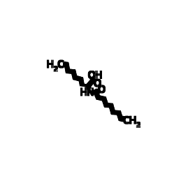 C=CCCCCCCC(=O)N[C@@H](CCCCCC=C)C(=O)O